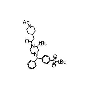 CC(=O)N1CCC(CC(=O)N2CCN(C(c3ccccc3)c3ccc(S(=O)(=O)C(C)(C)C)cc3)C[C@@H]2C(C)(C)C)CC1